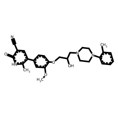 COc1cc(-c2cc(C#N)c(=O)[nH]c2C)ccc1OCC(O)CN1CCN(c2ccccc2C)CC1